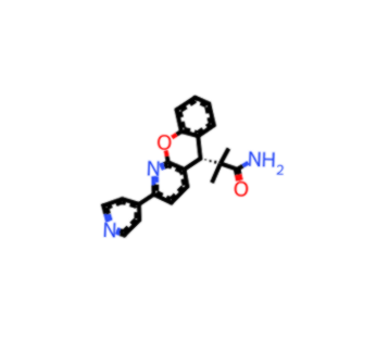 CC(C)(C(N)=O)[C@H]1c2ccccc2Oc2nc(-c3ccncc3)ccc21